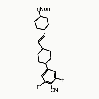 CCCCCCCCC[C@H]1CC[C@H](/C=C/C2CCC(c3cc(F)c(C#N)c(F)c3)CC2)CC1